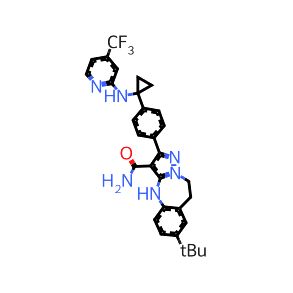 CC(C)(C)c1ccc2c(c1)CCn1nc(-c3ccc(C4(Nc5cc(C(F)(F)F)ccn5)CC4)cc3)c(C(N)=O)c1N2